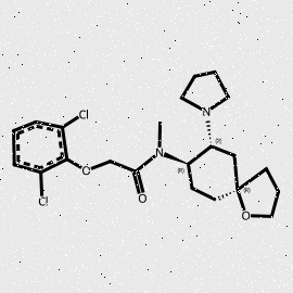 CN(C(=O)COc1c(Cl)cccc1Cl)[C@@H]1CC[C@@]2(CCCO2)C[C@H]1N1CCCC1